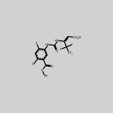 CCOC(=O)/C=C(/NC(=O)Nc1cc(C(=O)OC(C)C)c(Cl)cc1F)C(F)(F)C(F)(F)F